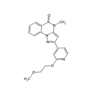 COCCOc1cc(-c2cc3n(C)c(=O)c4ccccc4n3n2)ccn1